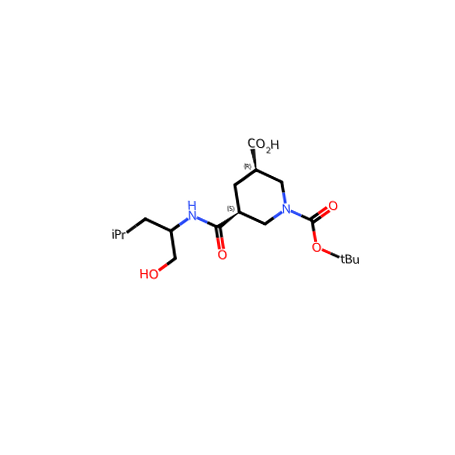 CC(C)CC(CO)NC(=O)[C@H]1C[C@@H](C(=O)O)CN(C(=O)OC(C)(C)C)C1